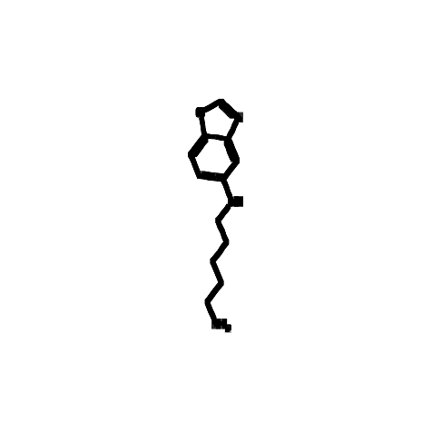 NCCCCCNc1ccc2ocnc2c1